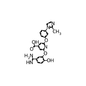 Cc1nccn1-c1cccc(Oc2cc(C(=O)O)cc(Oc3cc(C(=N)N)ccc3O)n2)c1